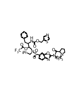 CC(C)CN(CC(OC(=O)C(F)(F)F)C(Cc1ccccc1)NC(=O)OCc1cncs1)S(=O)(=O)c1ccc2nc(N(C)C(=O)C3CCCN3C)oc2c1